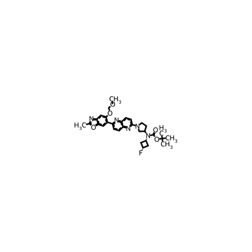 COCOc1cc2nc(C)oc2cc1-c1ccc2nc(N3CCC(N(C(=O)OC(C)(C)C)[C@H]4C[C@@H](F)C4)C3)ccc2n1